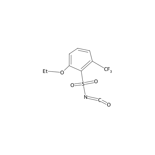 CCOc1cccc(C(F)(F)F)c1S(=O)(=O)N=C=O